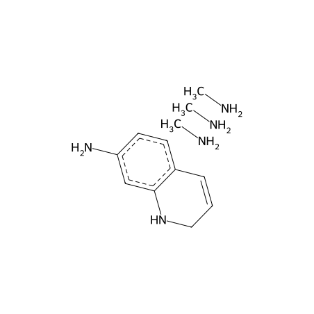 CN.CN.CN.Nc1ccc2c(c1)NCC=C2